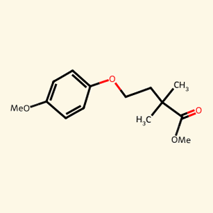 COC(=O)C(C)(C)CCOc1ccc(OC)cc1